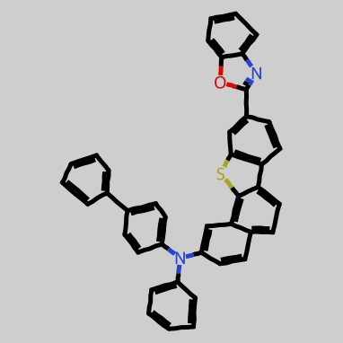 c1ccc(-c2ccc(N(c3ccccc3)c3ccc4ccc5c6ccc(-c7nc8ccccc8o7)cc6sc5c4c3)cc2)cc1